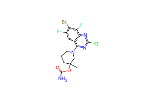 CC1(OC(N)=O)CCCN(c2nc(Cl)nc3c(F)c(Br)c(F)cc23)C1